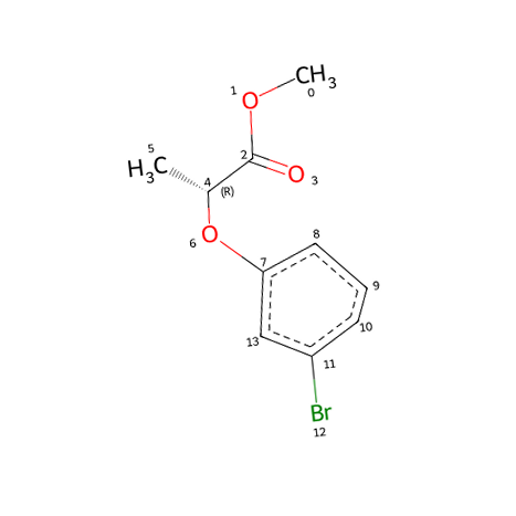 COC(=O)[C@@H](C)Oc1cccc(Br)c1